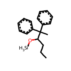 CCCC(O[SiH3])C(C)(c1ccccc1)c1ccccc1